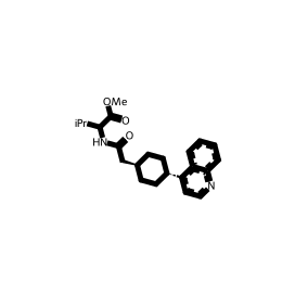 COC(=O)C(NC(=O)C[C@H]1CC[C@H](c2ccnc3ccccc32)CC1)C(C)C